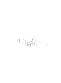 OC[C@H](O)c1cnc(-c2ccc3c(Nc4ccc(C(F)(F)F)cc4)ncnc3n2)c(C(F)(F)F)c1